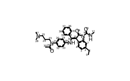 CCc1ccc2c(c1)N(C(=O)NC)C(=O)C2=C(Nc1ccc(N(CCCN(C)C)C(C)=O)cc1)c1ccccc1